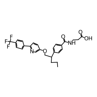 CCCC(COc1ccc(-c2ccc(C(F)(F)F)cc2)nc1)c1ccc(C(=O)NCCC(=O)O)cc1